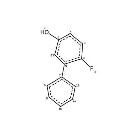 Oc1ccc(F)c(-c2ccccc2)c1